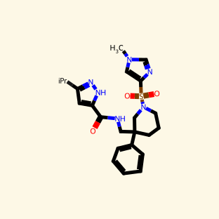 CC(C)c1cc(C(=O)NCC2(c3ccccc3)CCCN(S(=O)(=O)c3cn(C)cn3)C2)[nH]n1